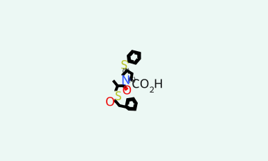 CC(CSC(=O)Cc1ccccc1)C(=O)N1C[C@@H](Sc2ccccc2)C[C@H]1C(=O)O